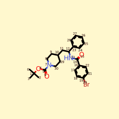 CC(C)(C)OC(=O)N1CCC(CC(NC(=O)c2ccc(Br)cc2)c2ccccc2)CC1